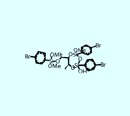 CO[Si](OC)(O[C@H](C)[C@H]1O[Si](OC)(c2ccc(Br)cc2)O[Si](O)(c2ccc(Br)cc2)O[C@H]1C)c1ccc(Br)cc1